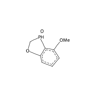 COc1cccc2c1[PH](=O)CO2